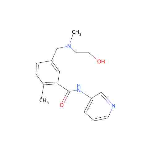 Cc1ccc(CN(C)CCO)cc1C(=O)Nc1cccnc1